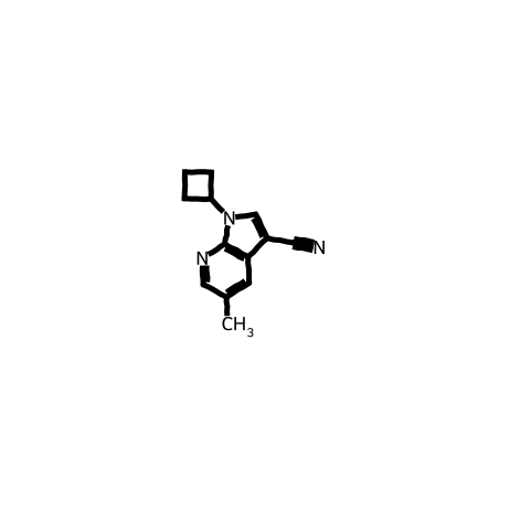 Cc1cnc2c(c1)c(C#N)cn2C1CCC1